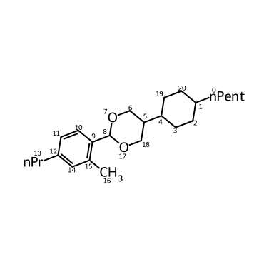 CCCCCC1CCC(C2COC(c3ccc(CCC)cc3C)OC2)CC1